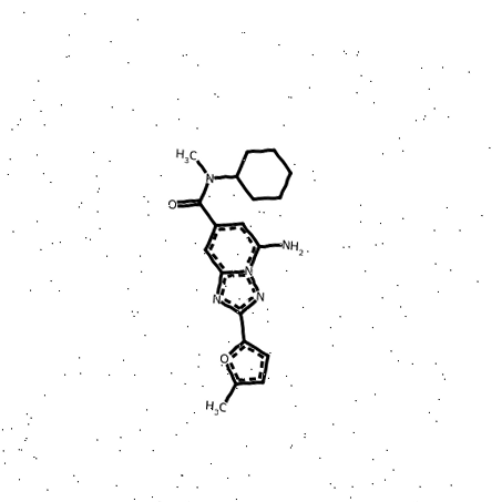 Cc1ccc(-c2nc3cc(C(=O)N(C)C4CCCCC4)cc(N)n3n2)o1